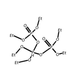 CCOP(=O)(OCC)O[PH](OCC)(OCC)OP(=O)(OCC)OCC